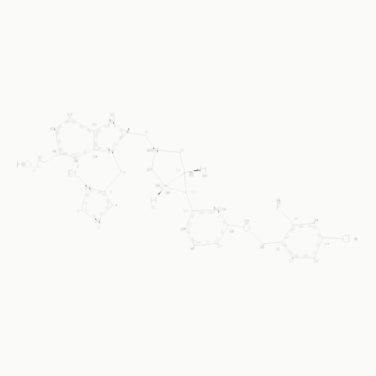 CCn1cncc1Cn1c(CN2C[C@@H]3C(c4cccc(OCc5ccc(Cl)cc5F)n4)[C@@H]3C2)nc2ccc(C(=O)O)cc21